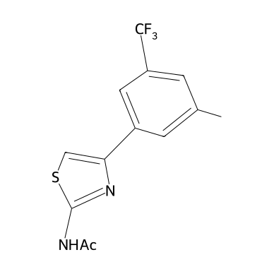 CC(=O)Nc1nc(-c2cc(C)cc(C(F)(F)F)c2)cs1